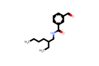 CCCCC(CC)CNC(=O)c1cccc(C=O)c1